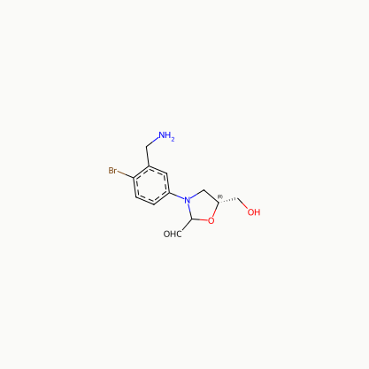 NCc1cc(N2C[C@H](CO)OC2C=O)ccc1Br